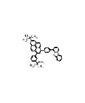 CC(C)(C)c1cccc(-c2cc(-c3ccc(-c4cccc5c4oc4ccccc45)cc3)c3ccc4cc(C(C)(C)C)cc5ccc2c3c45)c1